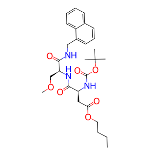 CCCCOC(=O)C[C@H](NC(=O)OC(C)(C)C)C(=O)N[C@@H](COC)C(=O)NCc1cccc2ccccc12